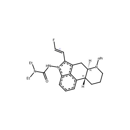 CCCN1CCC[C@@H]2c3cccc4c3c(c(/C=C/F)n4NC(=O)N(CC)CC)C[C@H]21